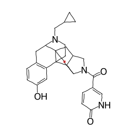 O=C(c1ccc(=O)[nH]c1)N1CC2CC34CCC1C2C31CCN(CC2CC2)C4Cc2ccc(O)cc21